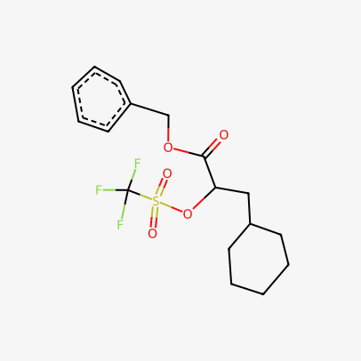 O=C(OCc1ccccc1)C(CC1CCCCC1)OS(=O)(=O)C(F)(F)F